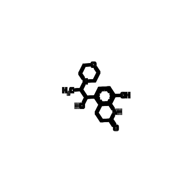 CC(C(O)c1ccc(O)c2c1CCC(=O)N2)N1CCOCC1